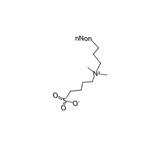 CCCCCCCCCCCC[N+](C)(C)CCCCS(=O)(=O)[O-]